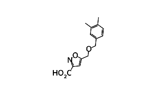 Cc1ccc(COCc2cc(C(=O)O)no2)cc1C